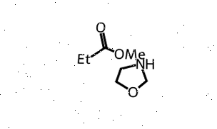 C1COCN1.CCC(=O)OC